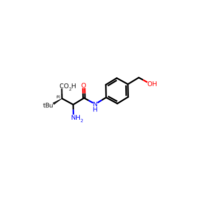 CC(C)(C)[C@@H](C(=O)O)C(N)C(=O)Nc1ccc(CO)cc1